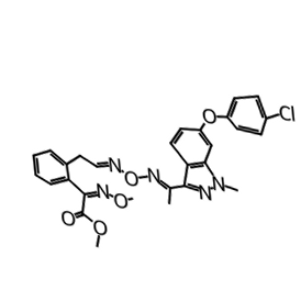 CON=C(C(=O)OC)c1ccccc1CC=NON=C(C)c1nn(C)c2cc(Oc3ccc(Cl)cc3)ccc12